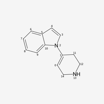 C1=C(n2ccc3ccccc32)CCNC1